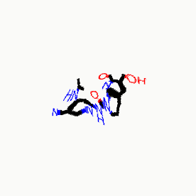 CC(C)Nc1cc(NC(=O)N2CCCc3cc(CO)c(C=O)nc32)ncc1C#N